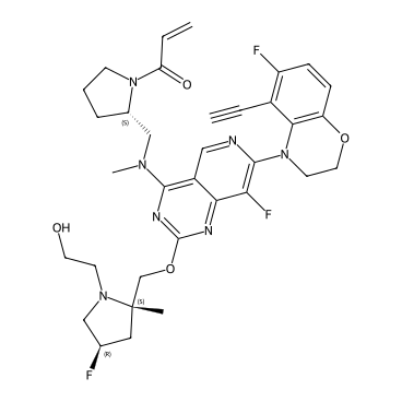 C#Cc1c(F)ccc2c1N(c1ncc3c(N(C)C[C@@H]4CCCN4C(=O)C=C)nc(OC[C@]4(C)C[C@@H](F)CN4CCO)nc3c1F)CCO2